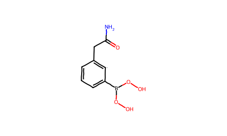 NC(=O)Cc1[c]c(B(OO)OO)ccc1